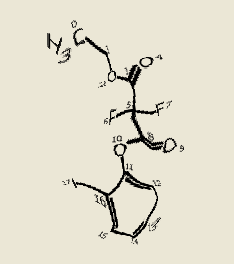 CCOC(=O)C(F)(F)C(=O)Oc1ccccc1I